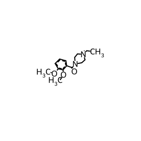 C[CH]N1CCN(C(=O)c2cccc(OC)c2OC)CC1